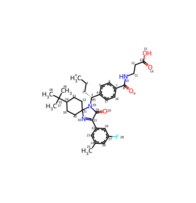 CCC[C@H](c1ccc(C(=O)NCCC(=O)O)cc1)N1C(=O)C(c2cc(C)cc(F)c2)=NC12CCC(C(C)(C)C)CC2